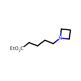 CCOC(=O)CCCCN1CCC1